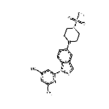 CS(=O)(=O)N1CCN(c2ccc3c(cnn3-c3cc(O)cc(C(F)(F)F)n3)c2)CC1